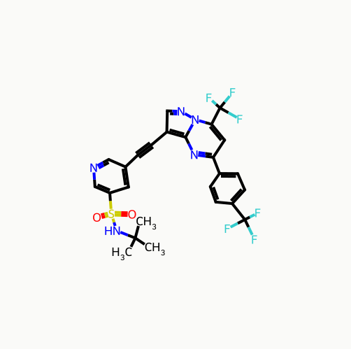 CC(C)(C)NS(=O)(=O)c1cncc(C#Cc2cnn3c(C(F)(F)F)cc(-c4ccc(C(F)(F)F)cc4)nc23)c1